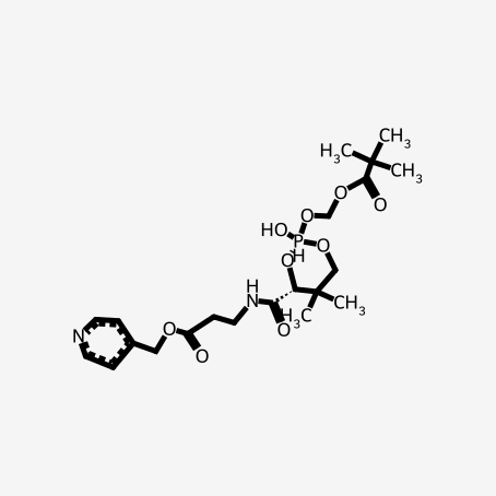 CC(C)(C)C(=O)OCO[PH]1(O)OCC(C)(C)[C@H](C(=O)NCCC(=O)OCc2ccncc2)O1